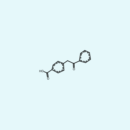 O=C(O)c1ccc(CC(=O)c2ccccc2)cc1